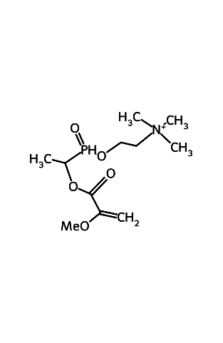 C=C(OC)C(=O)OC(C)[PH](=O)OCC[N+](C)(C)C